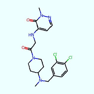 CN(Cc1ccc(Cl)c(Cl)c1)C1CCN(C(=O)CNc2ccnn(C)c2=O)CC1